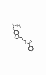 CC(N)Cc1ccc2c(c1)CCN2CCCOC(=O)c1ccccc1